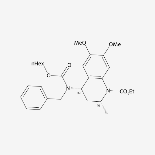 CCCCCCOC(=O)N(Cc1ccccc1)[C@H]1C[C@@H](C)N(C(=O)OCC)c2cc(OC)c(OC)cc21